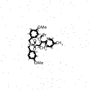 COc1ccc(CN(Cc2ccc(OC)cc2)S(=O)(=O)C(C)C(OC(C)C)c2ncc(C)cn2)cc1